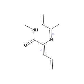 C=C/C=C(\N=C(\C)C=C)C(=O)NC